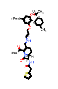 C=C(C)[C@@H]1CCC(C)=C[C@H]1c1c(O)cc(CCCCC)cc1OC/C=C/NCC1=C(C(=O)OCC(C)C)N2C(=O)[C@@H](NC(=O)Cc3cccs3)[C@H]2CC1